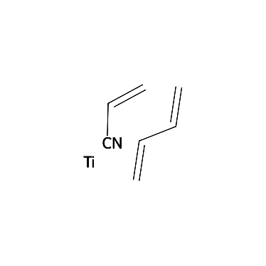 C=CC#N.C=CC=C.[Ti]